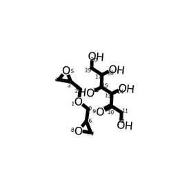 C(OCC1CO1)C1CO1.O=C(CO)C(O)C(O)C(O)CO